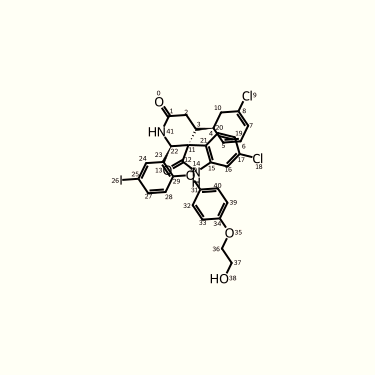 O=C1CC([C@@H]2C=CC=C(Cl)C2)[C@]2(C(=O)Nc3cc(Cl)ccc32)[C@@H](c2cc(I)ccc2Oc2ccc(OCCO)cc2)N1